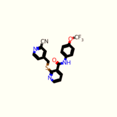 N#Cc1cc(CSc2ncccc2C(=O)Nc2ccc(OC(F)(F)F)cc2)ccn1